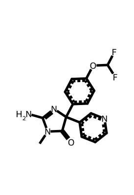 CN1C(=O)C(c2ccc(OC(F)F)cc2)(c2cccnc2)N=C1N